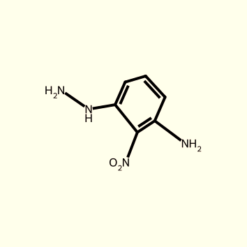 NNc1cccc(N)c1[N+](=O)[O-]